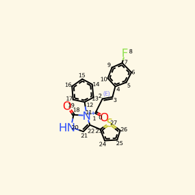 O=C(/C=C/c1ccc(F)cc1)[N+]1(c2ccccc2)C(=O)NC=C1c1cccs1